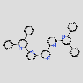 c1ccc(-c2cc(-c3ccccc3)nc(-c3cccc(-c4cncc(-c5cccc(-c6cc(-c7ccccc7)cc(-c7ccccc7)n6)n5)c4)n3)c2)cc1